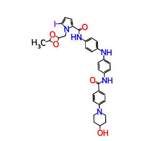 CC1OC(Cn2c(I)ccc2C(=O)Nc2ccc(Nc3ccc(NC(=O)c4ccc(N5CCC(O)CC5)cc4)cc3)cc2)O1